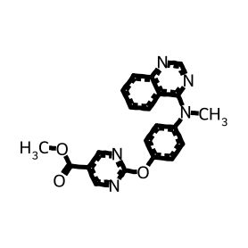 COC(=O)c1cnc(Oc2ccc(N(C)c3ncnc4ccccc34)cc2)nc1